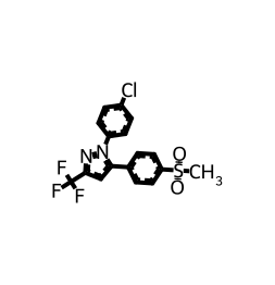 CS(=O)(=O)c1ccc(-c2cc(C(F)(F)F)nn2-c2ccc(Cl)cc2)cc1